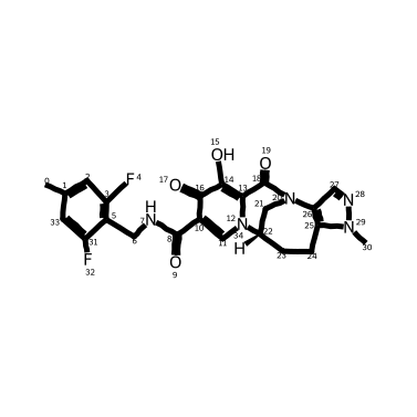 Cc1cc(F)c(CNC(=O)c2cn3c(c(O)c2=O)C(=O)N2C[C@@H]3CCc3c2cnn3C)c(F)c1